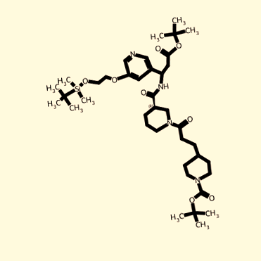 CC(C)(C)OC(=O)CC(NC(=O)[C@@H]1CCCN(C(=O)CCC2CCN(C(=O)OC(C)(C)C)CC2)C1)c1cncc(OCCO[Si](C)(C)C(C)(C)C)c1